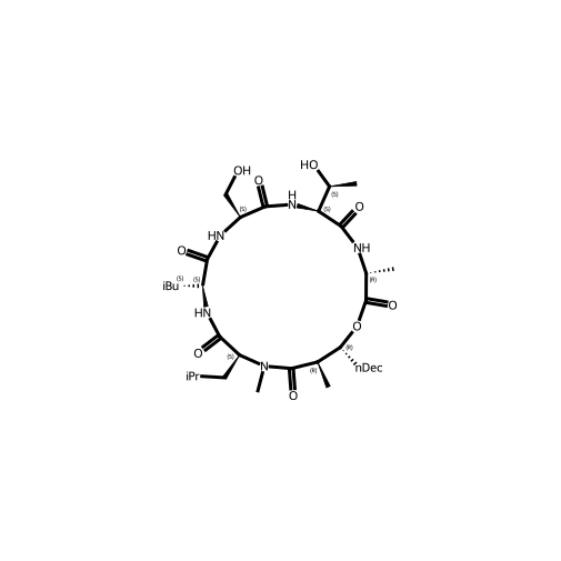 CCCCCCCCCC[C@H]1OC(=O)[C@@H](C)NC(=O)[C@H]([C@H](C)O)NC(=O)[C@H](CO)NC(=O)[C@H]([C@@H](C)CC)NC(=O)[C@H](CC(C)C)N(C)C(=O)[C@@H]1C